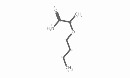 [CH2]C(OCCCC)C(N)=O